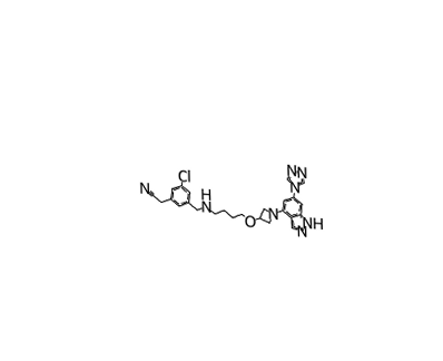 N#CCc1cc(Cl)cc(CNCCCCOC2CN(c3cc(-n4cnnc4)cc4[nH]ncc34)C2)c1